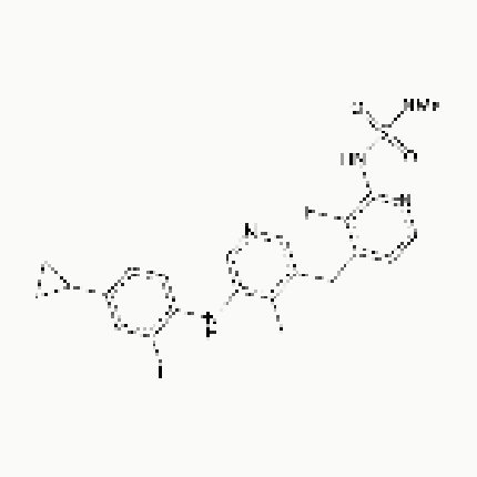 CNS(=O)(=O)Nc1nccc(Cc2cncc(Nc3ccc(C4CC4)cc3F)c2C)c1F